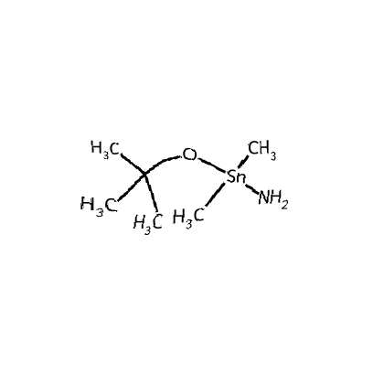 CC(C)(C)[O][Sn]([CH3])([CH3])[NH2]